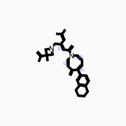 C=C1/C=C\N(C(=C)/C=C(\C=C(C)C)CN2CC(C)(C(=C)C)C2)/C=C\C=C/1c1ccc2c(c1)CCCC2